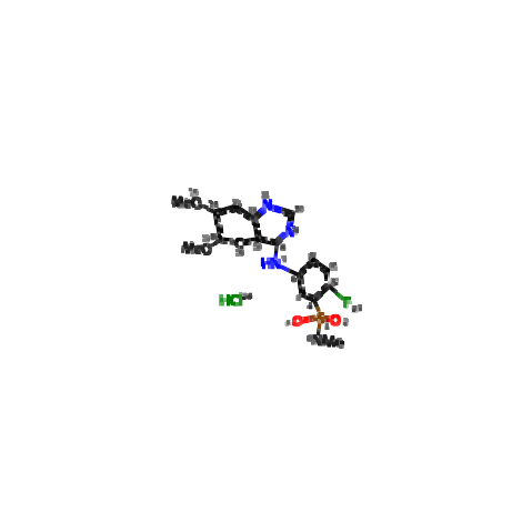 CNS(=O)(=O)c1cc(Nc2ncnc3cc(OC)c(OC)cc23)ccc1F.Cl